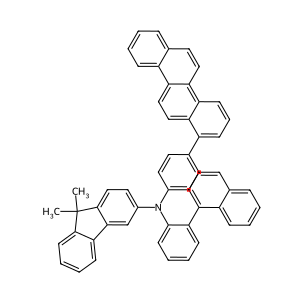 CC1(C)c2ccccc2-c2cc(N(c3ccc(-c4cccc5c4ccc4c6ccccc6ccc54)cc3)c3ccccc3-c3cccc4ccccc34)ccc21